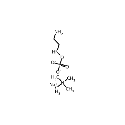 C[N+](C)(C)C.NCCNOP(=O)([O-])[O-].[Na+]